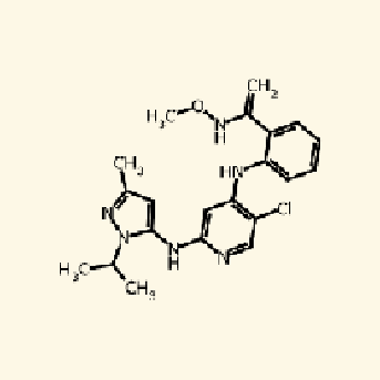 C=C(NOC)c1ccccc1Nc1cc(Nc2cc(C)nn2C(C)C)ncc1Cl